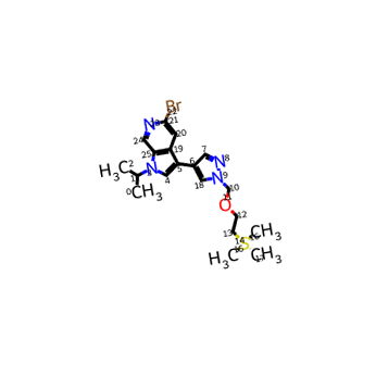 CC(C)n1cc(-c2cnn(COCCS(C)(C)C)c2)c2cc(Br)ncc21